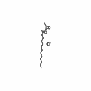 CCCCCCCCCCCC[N+](C)(C)C1OC1C.[Cl-]